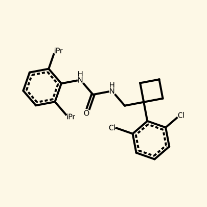 CC(C)c1cccc(C(C)C)c1NC(=O)NCC1(c2c(Cl)cccc2Cl)CCC1